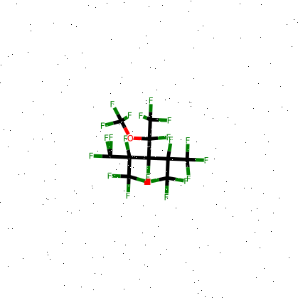 FC(F)(F)OC(F)(C(F)(F)F)C(F)(C(F)(C(F)(F)F)C(F)(F)F)C(F)(C(F)(F)F)C(F)(F)F